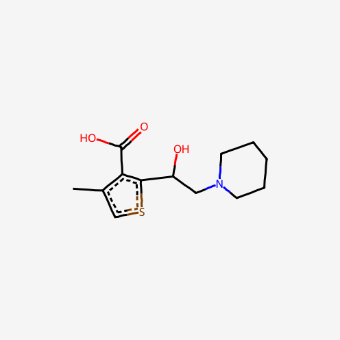 Cc1csc(C(O)CN2CCCCC2)c1C(=O)O